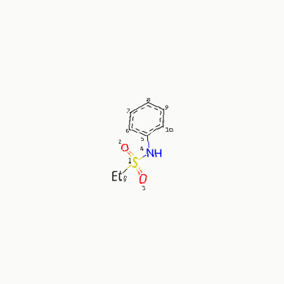 [CH2]CS(=O)(=O)Nc1ccccc1